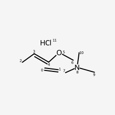 C=C.CC=COC.CN(C)C.Cl